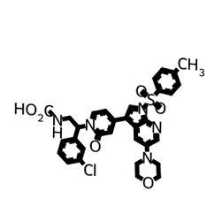 Cc1ccc(S(=O)(=O)n2cc(-c3ccn(C(CNC(=O)O)c4cccc(Cl)c4)c(=O)c3)c3cc(N4CCOCC4)cnc32)cc1